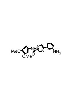 COc1ccc(NC(=O)c2cnc(-c3[c]c(N)ccc3)cn2)cc1OC